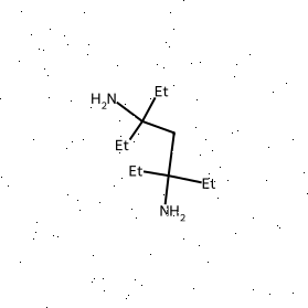 CCC(N)(CC)CC(N)(CC)CC